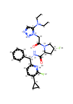 CCN(CC)c1cnnn1CC(=O)N1C[C@H](F)C[C@H]1C(=O)N[C@@H](c1ccccc1)c1ccc(C2CC2)c(F)n1